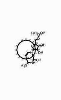 NC1NC(O)C23CCCCCCCCCCCCCC1(C=CN2C1OC(COP(O)O)C(O)C1O)C3